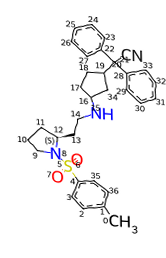 Cc1ccc(S(=O)(=O)N2CCC[C@H]2CCNC2CCC(C(C#N)(c3ccccc3)c3ccccc3)C2)cc1